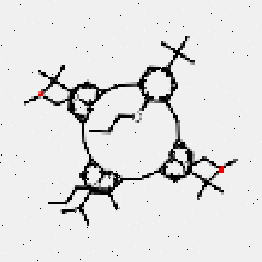 CCCOc1c2cc(C(C)(C)C)cc1Cc1cc(C(C)(C)C)cc(c1OCCC)Cc1c(C)c(C(C)C)cc(c1OCCC)Cc1cc(C(C)(C)C)cc(c1OCCC)C2